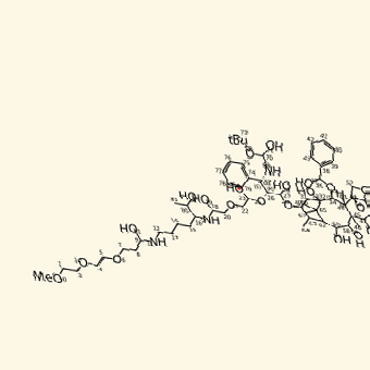 COCCOCCOCCC(O)NCCCCC(NC(O)COCC(O)O[C@@H](C(O)O[C@H]1CC2(O)[C@@H](OC(O)c3ccccc3)[C@H]3C(C)(C(O)CC4OC[C@]43OC(C)O)C(O)C(O)C(C1C)C2(C)C)[C@@H](NC(O)OC(C)(C)C)c1ccccc1)C(C)O